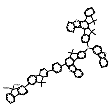 CCCCCCCC1(CCCCCCC)c2ccccc2-c2ccc(-c3ccc4c(c3)C(C)(C)C3C=C(c5ccc(-c6cc7c(c8c6oc6ccccc68)-c6ccc(N(c8ccc9c(c8)C(C)(C)c8c%10c(c%11oc%12ccccc%12c%11c8-9)-c8ccccc8C%10(C)C)c8ccc9oc%10ccccc%10c9c8)cc6C7(C)C)cc5)C=CC43)cc21